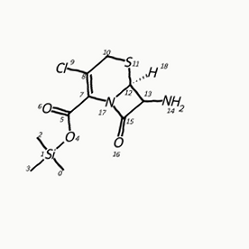 C[Si](C)(C)OC(=O)C1=C(Cl)CS[C@H]2C(N)C(=O)N12